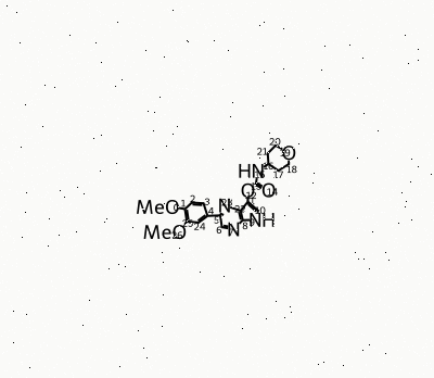 COc1ccc(-c2cnc3[nH]cc(OC(=O)NC4CCOCC4)c3n2)cc1OC